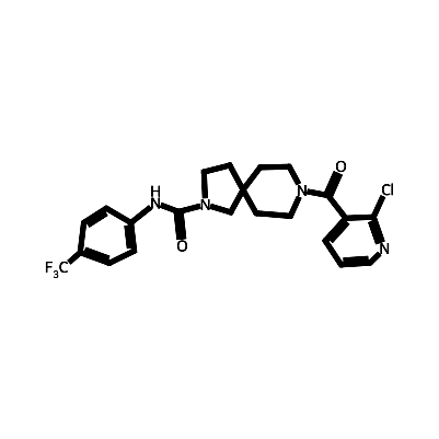 O=C(Nc1ccc(C(F)(F)F)cc1)N1CCC2(CCN(C(=O)c3cccnc3Cl)CC2)C1